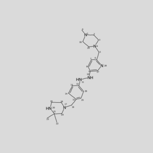 CN1CCN(Cc2ccc(NNc3ccc(CN4CCNC(C)(C)C4)cc3)cn2)CC1